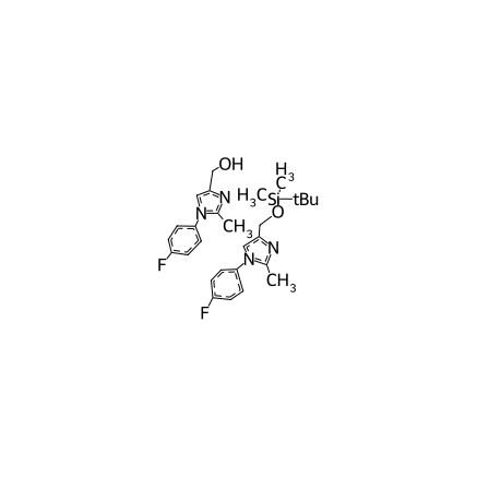 Cc1nc(CO)cn1-c1ccc(F)cc1.Cc1nc(CO[Si](C)(C)C(C)(C)C)cn1-c1ccc(F)cc1